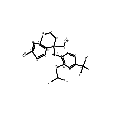 OC[C@]1(Nc2ncc(C(F)(F)F)cc2OC(F)F)CCOc2cc(Cl)ccc21